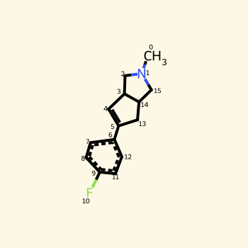 CN1CC2C=C(c3ccc(F)cc3)CC2C1